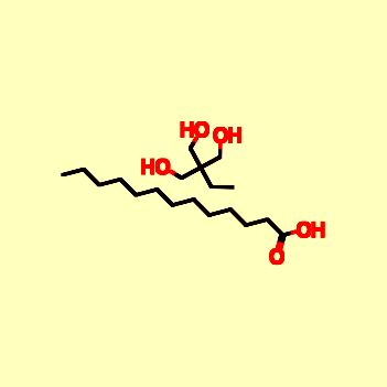 CCC(CO)(CO)CO.CCCCCCCCCCCCC(=O)O